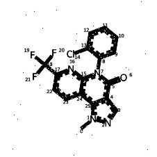 Cn1ncc2c(=O)n(-c3ccccc3Cl)c3nc(C(F)(F)F)ccc3c21